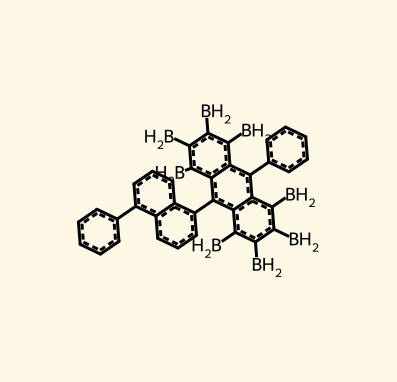 Bc1c(B)c(B)c2c(-c3cccc4c(-c5ccccc5)cccc34)c3c(B)c(B)c(B)c(B)c3c(-c3ccccc3)c2c1B